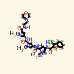 Cn1cc(NC(=O)c2cc(NC(=O)c3cc(NC(=O)c4sc5ccccc5c4Cl)cn3C)cn2C)cc1C(=O)NCCN1CCOCC1